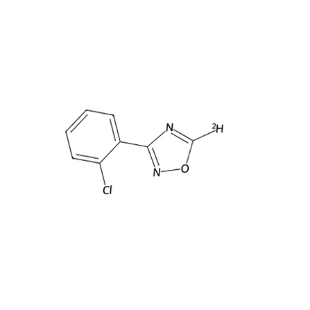 [2H]c1nc(-c2ccccc2Cl)no1